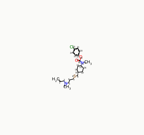 C=CCN(C)CCCSC[C@H]1CC[C@H](N(C)C(=O)Oc2ccc(Cl)cc2)CC1